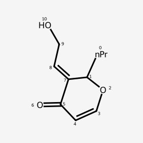 CCCC1OC=CC(=O)C1=CCO